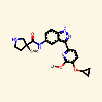 CCOc1nc(-c2n[nH]c3ccc(NC(=O)C4(SC)CCNC4)cc23)ccc1OC1CC1